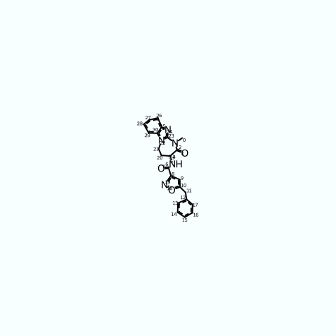 CN1C(=O)[C@@H](NC(=O)c2cc(Cc3ccccc3)on2)CCn2c1nc1ccccc12